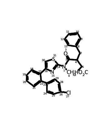 CN(C(=O)C(CC(=O)O)Cc1ccccc1)c1nc(-c2ccccc2-c2ccc(Cl)cc2)cs1